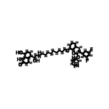 O=C(O[C@H]1CN2CCC1CC2)N(Cc1cccc(OCCCCCCCCCNC[C@H](O)c2ccc(O)c3[nH]c(=O)ccc23)c1)c1cc(F)cc(F)c1